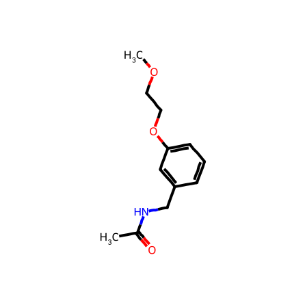 COCCOc1cccc(CNC(C)=O)c1